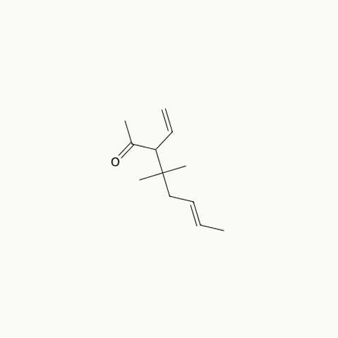 C=CC(C(C)=O)C(C)(C)C/C=C/C